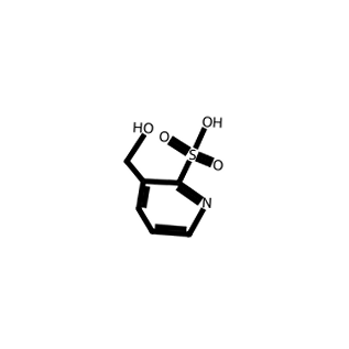 O=S(=O)(O)c1ncccc1CO